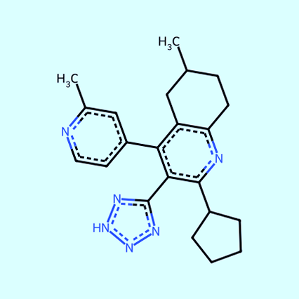 Cc1cc(-c2c3c(nc(C4CCCC4)c2-c2nn[nH]n2)CCC(C)C3)ccn1